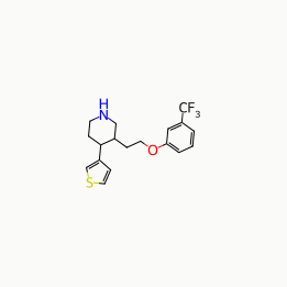 FC(F)(F)c1cccc(OCCC2CNCCC2c2ccsc2)c1